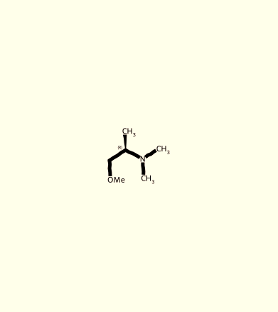 COC[C@@H](C)N(C)C